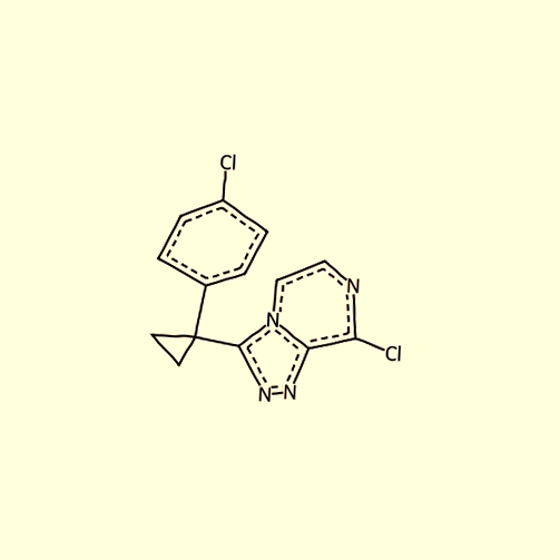 Clc1ccc(C2(c3nnc4c(Cl)nccn34)CC2)cc1